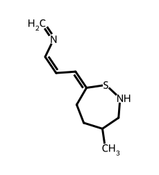 C=N/C=C\C=C1/CCC(C)CNS1